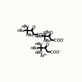 CCCCC(CCCC)(CCCC)C(=O)CC(=O)[O-].CCCCC(CCCC)(CCCC)C(=O)CC(=O)[O-].CCCCC(CCCC)(CCCC)C(=O)CC(=O)[O-].[Al+3]